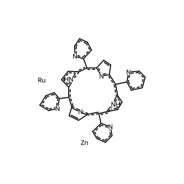 C1=Cc2nc1c(-c1ccccn1)c1ccc([nH]1)c(-c1ccccn1)c1nc(c(-c3ccccn3)c3ccc([nH]3)c2-c2ccccn2)C=C1.[Ru].[Zn]